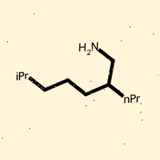 CCCC(CN)CCCC(C)C